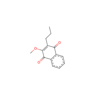 CCCC1=C(OC)C(=O)c2ccccc2C1=O